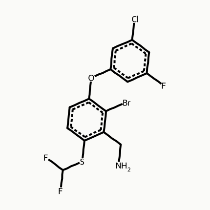 NCc1c(SC(F)F)ccc(Oc2cc(F)cc(Cl)c2)c1Br